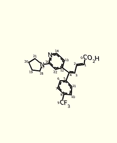 O=C(O)C=CC=C(c1ccc(C(F)(F)F)cc1)c1ccnc(N2CCCC2)c1